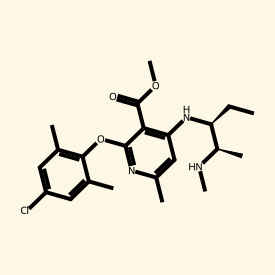 CC[C@H](Nc1cc(C)nc(Oc2c(C)cc(Cl)cc2C)c1C(=O)OC)[C@@H](C)NC